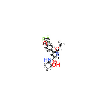 O=C(N[C@@H]1CCCC[C@H]1O)c1cnc(OCC2CC2)c(-c2ccc(OC(F)(F)F)cc2)c1